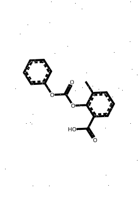 Cc1cccc(C(=O)O)c1OC(=O)Oc1ccccc1